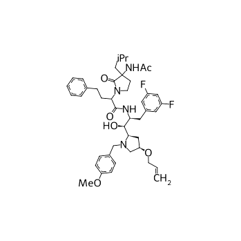 C=CCO[C@@H]1C[C@H]([C@@H](O)[C@H](Cc2cc(F)cc(F)c2)NC(=O)C(CCc2ccccc2)N2CCC(CC(C)C)(NC(C)=O)C2=O)N(Cc2ccc(OC)cc2)C1